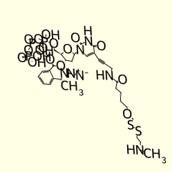 CNCCSSCOCCCCC(=O)NCC#Cc1cn([C@H]2CC(OC(=O)c3ccccc3C(C)N=[N+]=[N-])[C@@H](COP(=O)(O)OP(=O)(O)OP(=O)(O)O)O2)c(=O)[nH]c1=O